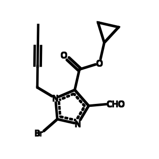 CC#CCn1c(Br)nc(C=O)c1C(=O)OC1CC1